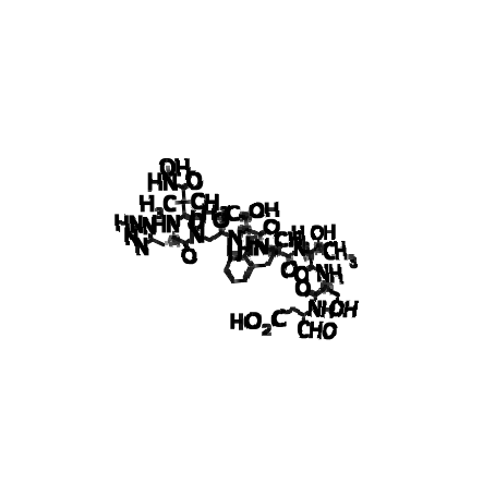 C[C@@H](O)[C@H](NC(=O)CNC(=O)[C@H](Cc1nn[nH]n1)NC(=O)C(C)(C)C(=O)NO)C(=O)N[C@@](C)(Cc1ccccc1F)C(=O)N[C@H](C(=O)N[C@@H](CO)C(=O)NC(C=O)CC(=O)O)[C@@H](C)O